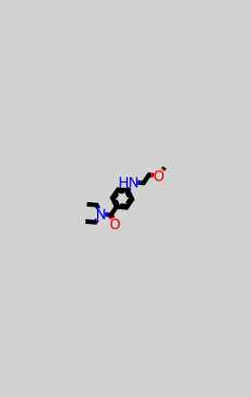 CCN(CC)C(=O)c1ccc(NCCOC)cc1